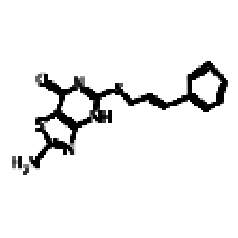 Nc1nc2[nH]c(SC/C=C/c3ccccc3)nc(=O)c2s1